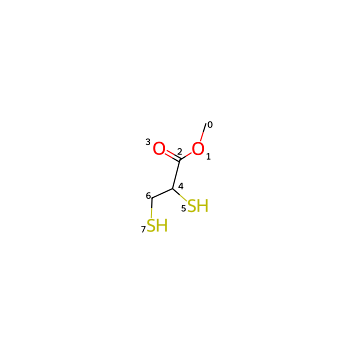 COC(=O)C(S)CS